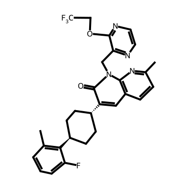 Cc1ccc2cc([C@H]3CC[C@H](c4c(C)cccc4F)CC3)c(=O)n(Cc3nccnc3OCC(F)(F)F)c2n1